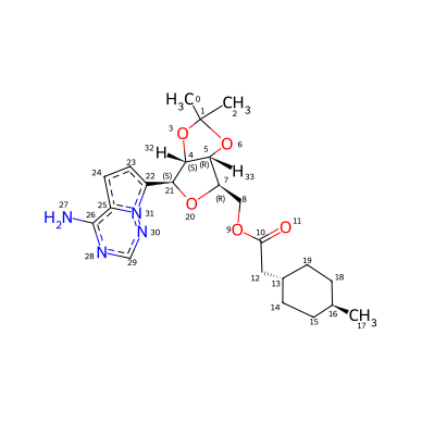 CC1(C)O[C@@H]2[C@H](O1)[C@@H](COC(=O)C[C@H]1CC[C@H](C)CC1)O[C@H]2c1ccc2c(N)ncnn12